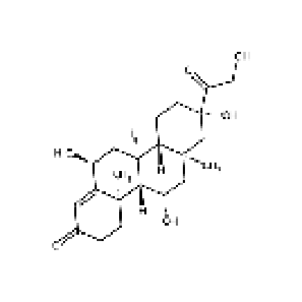 C[C@H]1C[C@@H]2[C@H]([C@@H](O)C[C@]3(C)C[C@](O)(C(=O)CO)CC[C@@H]23)[C@@]2(C)CCC(=O)C=C12